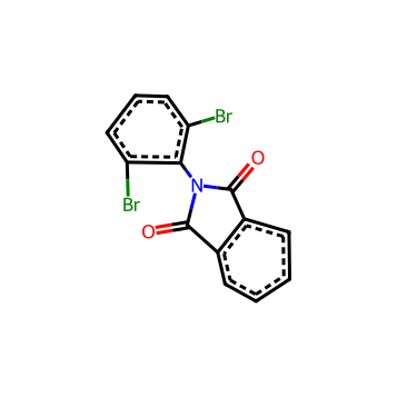 O=C1c2ccccc2C(=O)N1c1c(Br)cccc1Br